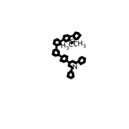 C[Si]1(C)c2ccccc2-c2ccc(-c3cccc(-c4cccc(-c5ccc(-c6cc(-c7ccccc7)nc(-c7ccccc7)c6)cc5)c4)c3)cc21